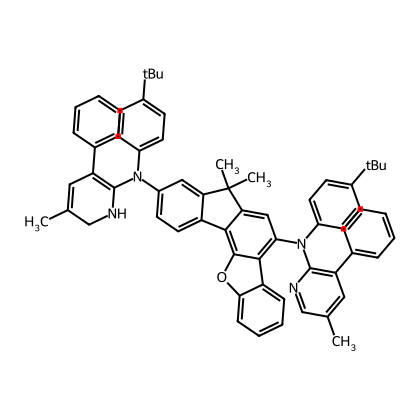 CC1=CC(c2ccccc2)=C(N(c2ccc(C(C)(C)C)cc2)c2ccc3c(c2)C(C)(C)c2cc(N(c4ccc(C(C)(C)C)cc4)c4ncc(C)cc4-c4ccccc4)c4c(oc5ccccc54)c2-3)NC1